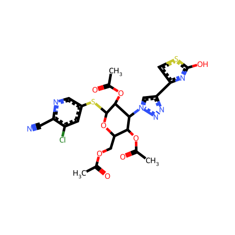 CC(=O)OCC1OC(Sc2cnc(C#N)c(Cl)c2)C(OC(C)=O)C(n2cc(-c3csc(O)n3)nn2)C1OC(C)=O